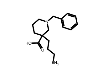 BCCCC1(C(=O)O)CCCN(Cc2ccccc2)C1